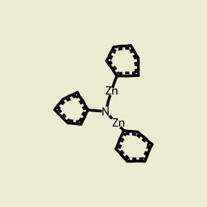 c1cc[c]([Zn][N]([Zn][c]2ccccc2)c2ccccc2)cc1